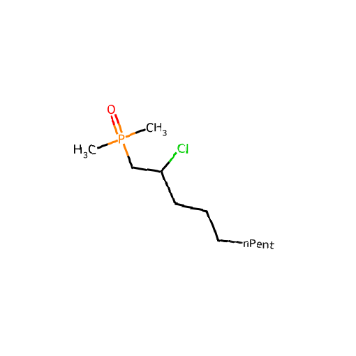 CCCCCCCCC(Cl)CP(C)(C)=O